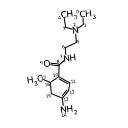 CCN(CC)CCNC(=O)C1=CC=C(N)CC1C